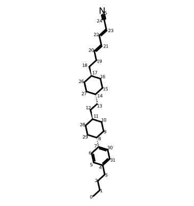 CCCCc1ccc([C@H]2CC[C@H](CC[C@H]3CC[C@H](CCC=CC=CC#N)CC3)CC2)cc1